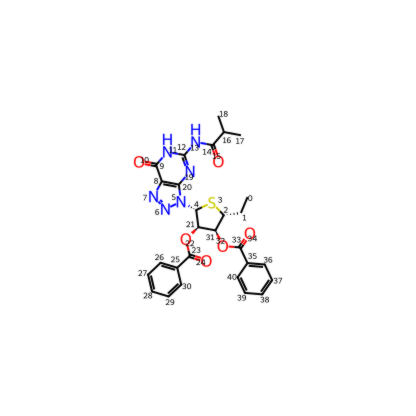 CC[C@H]1S[C@@H](n2nnc3c(=O)[nH]c(NC(=O)C(C)C)nc32)[C@H](OC(=O)c2ccccc2)[C@@H]1OC(=O)c1ccccc1